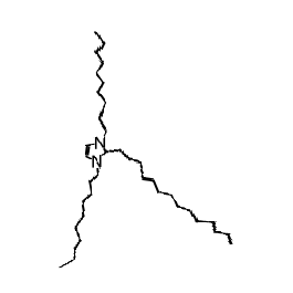 CCCCCCCCCCCCCCC1N(CCCCCCCCCC)C=CN1CCCCCCCCCC